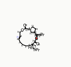 CC(C)N[C@]1(C)CCCC/C=C/COC(=O)N2CC[C@](C(=O)C(C)C)(C2)NCC1=O